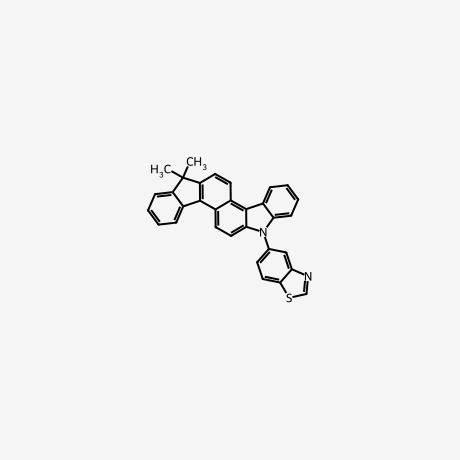 CC1(C)c2ccccc2-c2c1ccc1c2ccc2c1c1ccccc1n2-c1ccc2scnc2c1